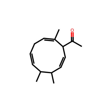 CC(=O)C1/C=C\C(C)C(C)/C=C\C/C=C\1C